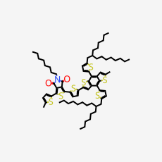 CCCCCCCCC(CCCCCC)Cc1ccc(-c2c3cc(-c4ccc(-c5sc(-c6ccc(C)s6)c6c5C(=O)N(CCCCCCCC)C6=O)s4)sc3c(-c3ccc(CC(CCCCCC)CCCCCCCC)s3)c3cc(C)sc23)s1